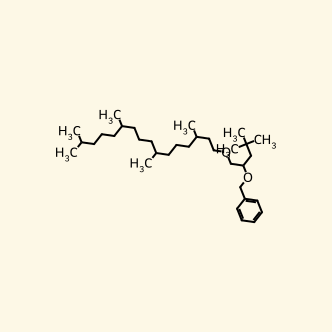 CC(C)CCCC(C)CCCC(C)CCCC(C)CCOCC(CC(C)(C)C)OCc1ccccc1